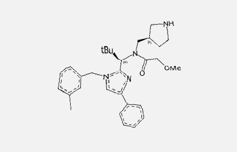 COCC(=O)N(C[C@@H]1CCNC1)[C@@H](c1nc(-c2ccccc2)cn1Cc1cccc(C)c1)C(C)(C)C